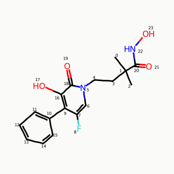 CC(C)(CCn1cc(F)c(-c2ccccc2)c(O)c1=O)C(=O)NO